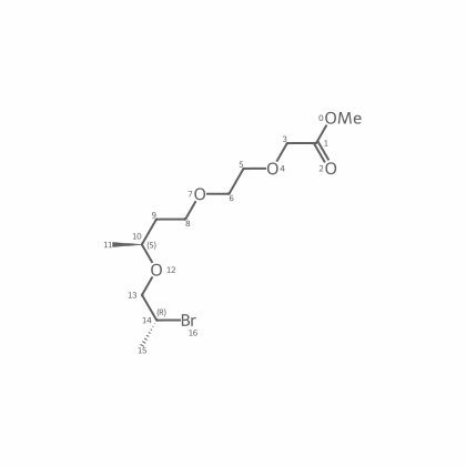 COC(=O)COCCOCC[C@H](C)OC[C@@H](C)Br